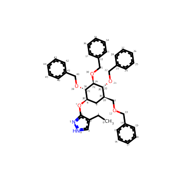 CCc1c[nH]nc1O[C@@H]1C[C@H](COCc2ccccc2)[C@@H](OCc2ccccc2)[C@H](OCc2ccccc2)[C@H]1OCc1ccccc1